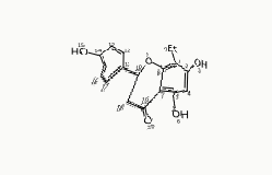 CCc1c(O)cc(O)c2c1OC(c1ccc(O)cc1)CC2=O